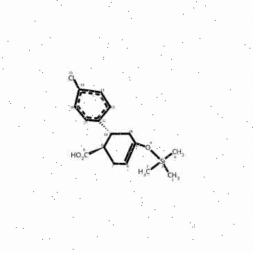 C[Si](C)(C)OC1=CC[C@@H](C(=O)O)[C@H](c2ccc(Cl)cc2)C1